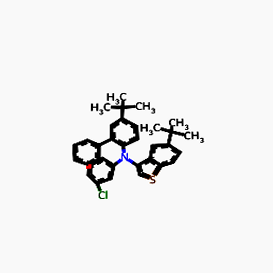 CC(C)(C)c1ccc(N(c2cccc(Cl)c2)c2csc3ccc(C(C)(C)C)cc23)c(-c2ccccc2)c1